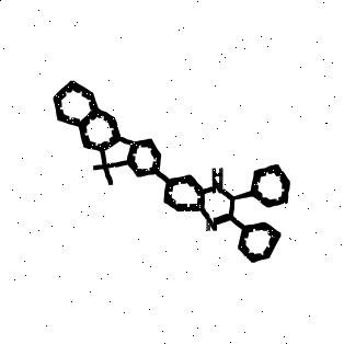 CC1(C)c2cc(-c3ccc4c(c3)N[C@@H](c3ccccc3)C(c3ccccc3)=N4)ccc2-c2cc3ccccc3cc21